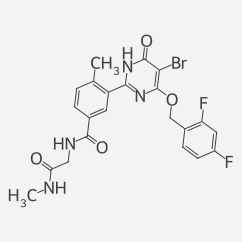 CNC(=O)CNC(=O)c1ccc(C)c(-c2nc(OCc3ccc(F)cc3F)c(Br)c(=O)[nH]2)c1